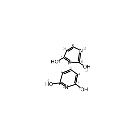 Oc1cccc(O)n1.Oc1ccnc(O)c1